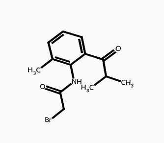 Cc1cccc(C(=O)C(C)C)c1NC(=O)CBr